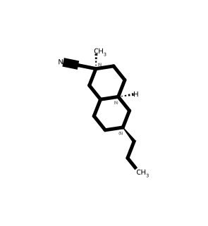 CCC[C@H]1CCC2C[C@@](C)(C#N)CC[C@H]2C1